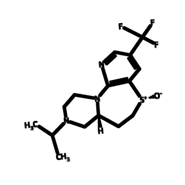 CC(C)N1CCN2c3ncc(C(F)(F)F)cc3[S@+]([O-])CC[C@@H]2C1